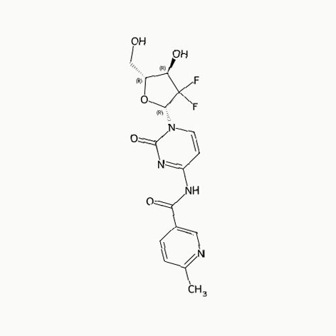 Cc1ccc(C(=O)Nc2ccn([C@@H]3O[C@H](CO)[C@@H](O)C3(F)F)c(=O)n2)cn1